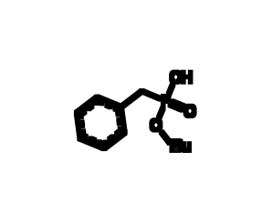 CCC(C)OP(=O)(O)Cc1ccccc1